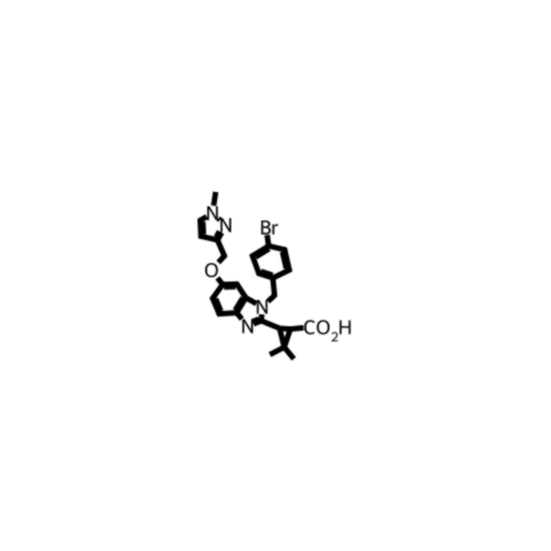 Cn1ccc(COc2ccc3nc(C4C(C(=O)O)C4(C)C)n(Cc4ccc(Br)cc4)c3c2)n1